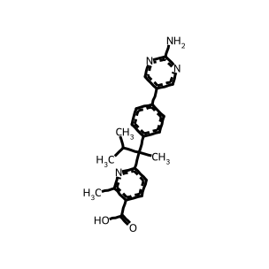 Cc1nc(C(C)(c2ccc(-c3cnc(N)nc3)cc2)C(C)C)ccc1C(=O)O